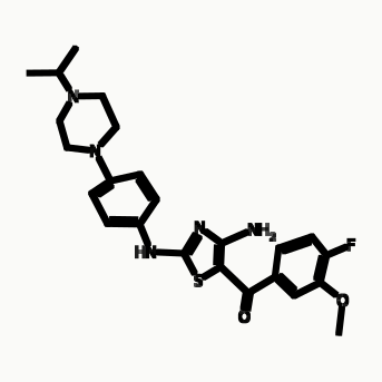 COc1cc(C(=O)c2sc(Nc3ccc(N4CCN(C(C)C)CC4)cc3)nc2N)ccc1F